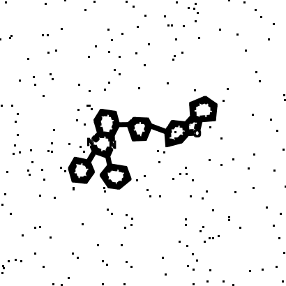 c1ccc(-c2nc3cccc(-c4ccc(-c5ccc6oc7ccccc7c6c5)cc4)c3nc2-c2ccccc2)cc1